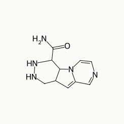 NC(=O)C1NNCC2C=C3C=NC=CN3C21